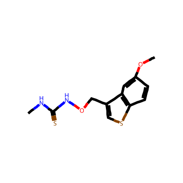 CNC(=S)NOCc1csc2ccc(OC)cc12